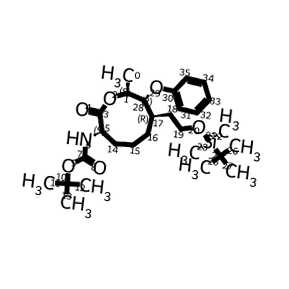 C[C@@H]1OC(=O)[C@@H](NC(=O)OC(C)(C)C)CCC[C@H](CCO[Si](C)(C)C(C)(C)C)[C@H]1Oc1ccccc1